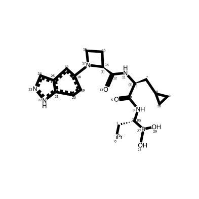 CC(C)C[C@H](NC(=O)[C@H](CC1CC1)NC(=O)[C@@H]1CCN1c1ccc2[nH]ncc2c1)B(O)O